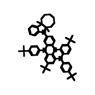 CC(C)(C)c1ccc(N2c3ccc(C(C)(C)C)cc3B3c4ccc(N5c6ccccc6C6(C)CCCCCCC56C)cc4N(c4ccc(C(C)(C)C)cc4)c4cc(C(C)(C)C)cc2c43)cc1